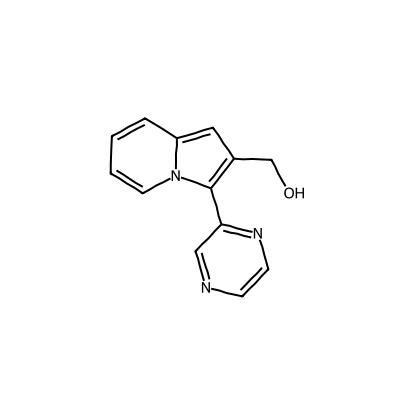 OCc1cc2ccccn2c1-c1cnccn1